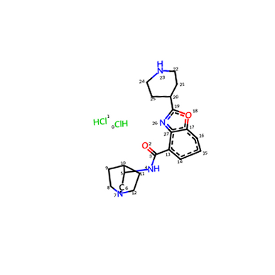 Cl.Cl.O=C(NC1CN2CCC1CC2)c1cccc2oc(C3CCNCC3)nc12